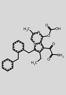 CCc1c(C(=O)C(N)=O)c2c(OC(=O)O)nc(C)cn2c1Cc1ccccc1Cc1ccccc1